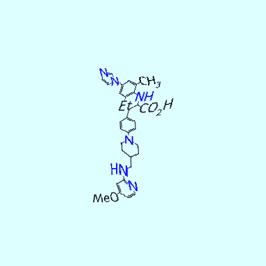 CCc1cc(-n2ccnc2)cc(C)c1NC(Cc1ccc(N2CCC(CNc3cc(OC)ccn3)CC2)cc1)C(=O)O